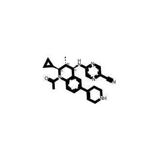 CC(=O)N1c2ccc(C3=CCNCC3)cc2[C@H](Nc2cnc(C#N)cn2)[C@@H](C)[C@@H]1C1CC1